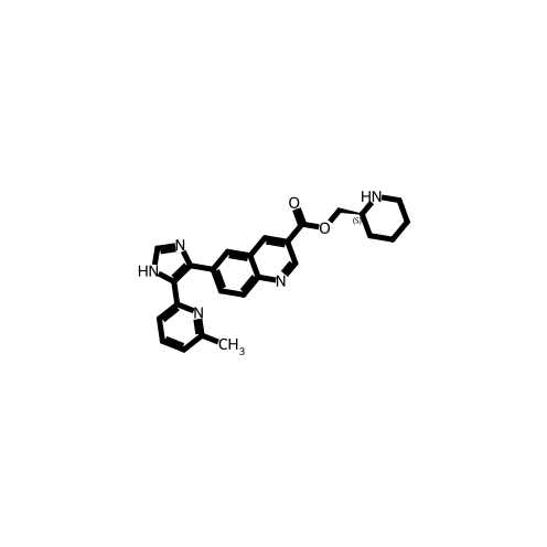 Cc1cccc(-c2[nH]cnc2-c2ccc3ncc(C(=O)OC[C@@H]4CCCCN4)cc3c2)n1